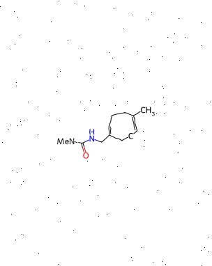 CNC(=O)NC/C1=C/CC/C(C)=C\CC1